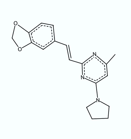 Cc1cc(N2CCCC2)nc(C=Cc2ccc3c(c2)OCO3)n1